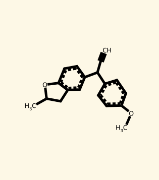 C#CC(c1ccc(OC)cc1)c1ccc2c(c1)CC(C)O2